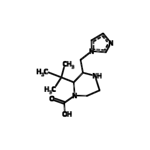 CC(C)(C)C1C(Cn2ccnc2)NCCN1C(=O)O